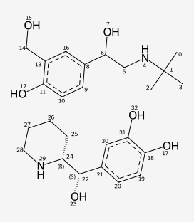 CC(C)(C)NCC(O)c1ccc(O)c(CO)c1.Oc1ccc([C@H](O)[C@H]2CCCCN2)cc1O